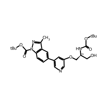 Cc1nn(C(=O)OC(C)(C)C)c2ccc(-c3cncc(OC[C@H](CO)NC(=O)OC(C)(C)C)c3)cc12